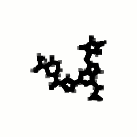 C=c1[nH]c(=O)[nH]/c1=C\c1cnn2c(NC3CC3)cc(-c3ccc(C(=O)N4CCNC(C(N)=O)C4)s3)nc12